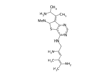 CNC1Sc2c(NC/C(N)=C/C(C)=C(/C)N)ncnc2/C1=C(\C)C(C)N